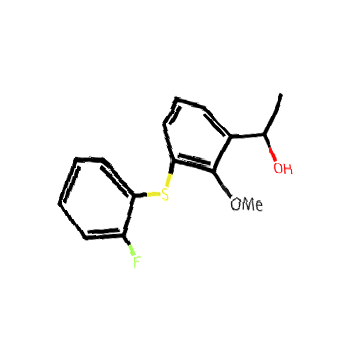 COc1c(Sc2ccccc2F)cccc1C(C)O